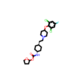 O=C(N[C@H]1CC[C@H](CCN2CCC(Oc3c(Cl)cc(F)cc3Cl)CC2)CC1)OC1CCCO1